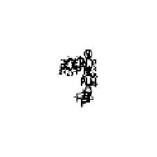 O=c1ccc(-c2cnc(OCC(F)(F)I)nc2)nn1Cc1ccc(I)cc1P